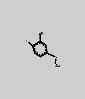 CCCc1cc(SC(C)(C)C)ccc1[O]